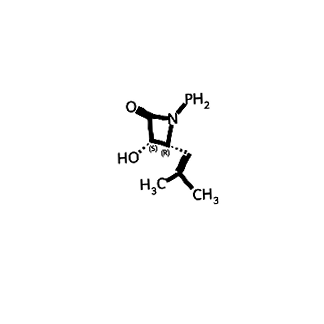 CC(C)=C[C@@H]1[C@H](O)C(=O)N1P